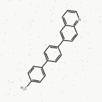 Cc1ccc(-c2ccc(-c3ccc4ncccc4c3)cc2)cc1